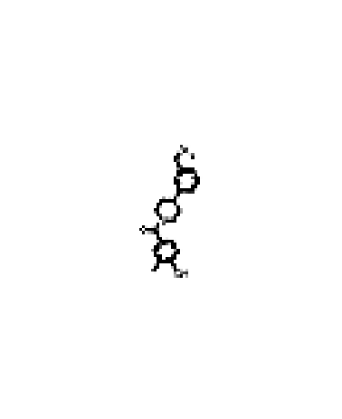 Cc1cc(C(=O)N2CCC(c3cccc(CN)c3)CC2)ccc1O